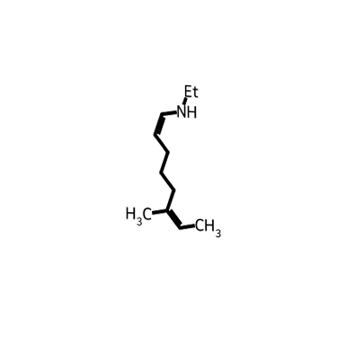 C/C=C(/C)CCC/C=C\NCC